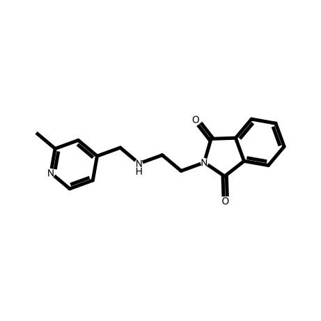 Cc1cc(CNCCN2C(=O)c3ccccc3C2=O)ccn1